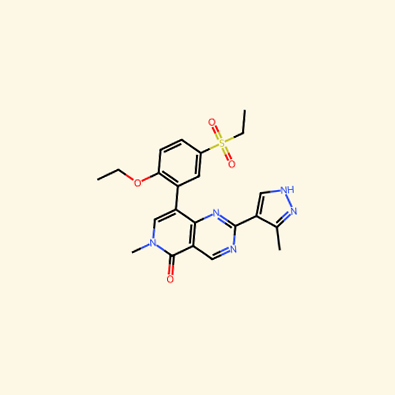 CCOc1ccc(S(=O)(=O)CC)cc1-c1cn(C)c(=O)c2cnc(-c3c[nH]nc3C)nc12